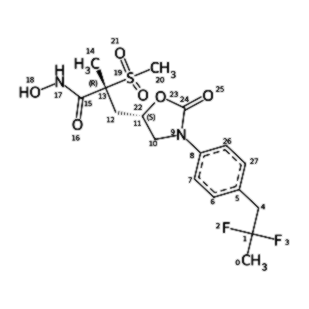 CC(F)(F)Cc1ccc(N2C[C@H](C[C@](C)(C(=O)NO)S(C)(=O)=O)OC2=O)cc1